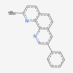 CC(C)(C)c1ccc2ccc3cc(-c4ccccc4)cnc3c2n1